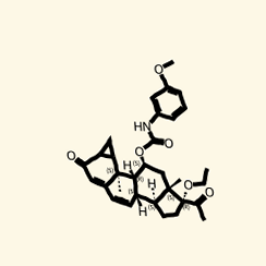 CCO[C@]1(C(C)=O)CC[C@H]2[C@@H]3C=CC4=CC(=O)C5CC5[C@@]4(C)[C@@H]3[C@@H](OC(=O)Nc3cccc(OC)c3)C[C@@]21C